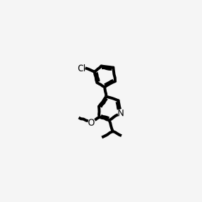 COc1cc(-c2cccc(Cl)c2)cnc1C(C)C